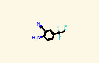 N#Cc1cc(C(F)(F)CF)ccc1N